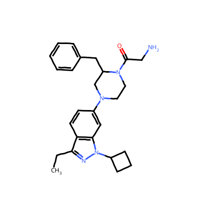 CCc1nn(C2CCC2)c2cc(N3CCN(C(=O)CN)C(Cc4ccccc4)C3)ccc12